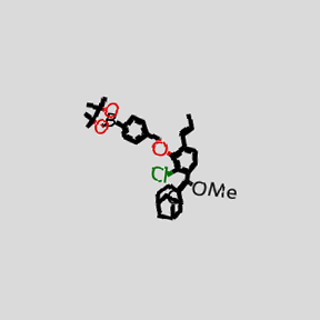 C/C=C/c1ccc(C(OC)=C2C3CC4CC(C3)CC2C4)c(Cl)c1OCc1ccc(B2OC(C)(C)C(C)(C)O2)cc1